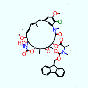 COc1cc2cc(c1Cl)N(C)C(=O)CC(OC(=O)[C@@H](C)N(C)C(=O)OCC1c3ccccc3-c3ccccc31)C1(C)OC1C(C)C1CC(O)(NC(=O)O1)C(OC)/C=C/C=C(\C)C2